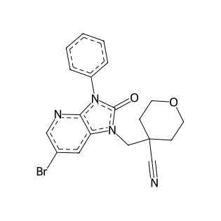 N#CC1(Cn2c(=O)n(-c3ccccc3)c3ncc(Br)cc32)CCOCC1